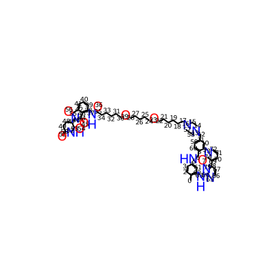 Cc1ccc(NC(=O)c2ccc(CN3CCN(CCCCCCOCCCCCOCCCCCC(=O)Nc4cccc5c4C(=O)N(C4CCC(=O)NC4=O)C5=O)CC3)cc2)cc1Nc1nccc(-c2cccnc2)n1